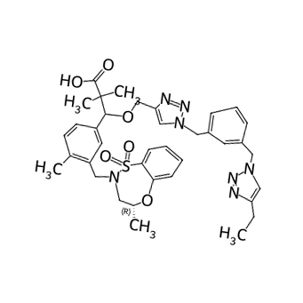 CCc1cn(Cc2cccc(Cn3cc(COC(c4ccc(C)c(CN5C[C@@H](C)Oc6ccccc6S5(=O)=O)c4)C(C)(C)C(=O)O)nn3)c2)nn1